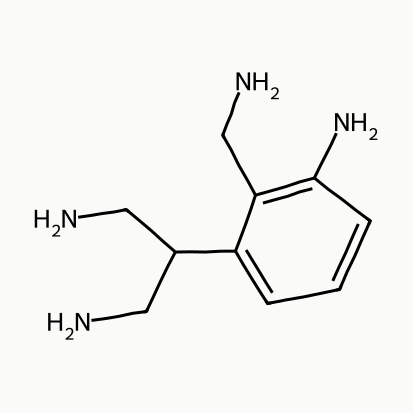 NCc1c(N)cccc1C(CN)CN